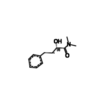 CN(C)C(=O)[C@@H](O)[CH]Cc1ccccc1